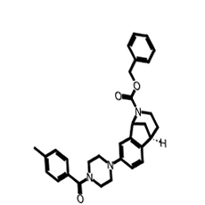 Cc1ccc(C(=O)N2CCN(c3ccc4c(c3)C3C[C@H]4CCN3C(=O)OCc3ccccc3)CC2)cc1